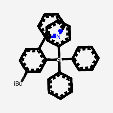 CCC(C)c1ccc(-c2ccccn2)c([Si](c2ccccc2)(c2ccccc2)c2ccccc2)c1